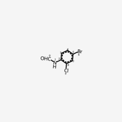 O=CNc1ccc(Br)cc1Cl